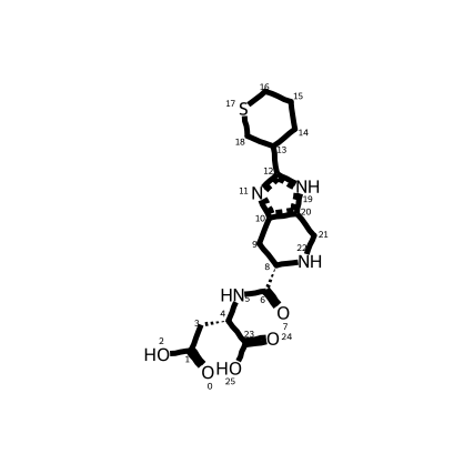 O=C(O)C[C@H](NC(=O)[C@@H]1Cc2nc(C3CCCSC3)[nH]c2CN1)C(=O)O